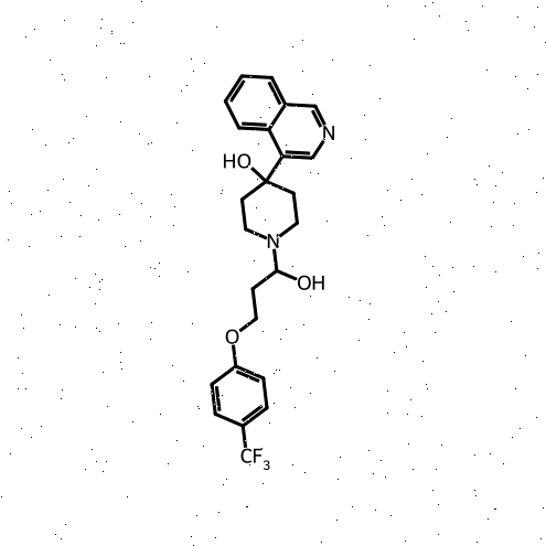 OC(CCOc1ccc(C(F)(F)F)cc1)N1CCC(O)(c2cncc3ccccc23)CC1